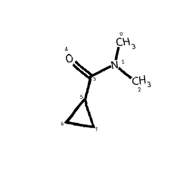 CN(C)C(=O)C1CC1